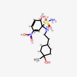 CC1(O)CCC(CCNC2(S(N)(=O)=O)C=C([N+](=O)[O-])C=CC2O)CC1